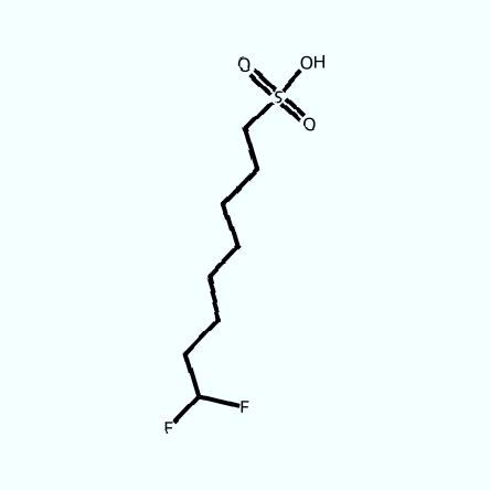 O=S(=O)(O)CCCCCCCC(F)F